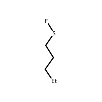 CCCCCSF